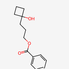 O=C(OCCCC1(O)CCC1)c1ccccc1